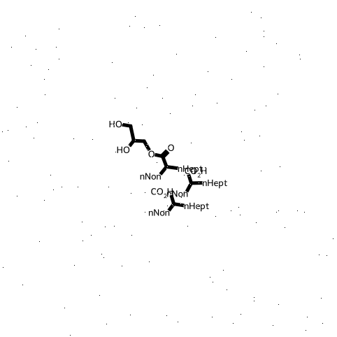 CCCCCCCCCC(CCCCCCC)C(=O)O.CCCCCCCCCC(CCCCCCC)C(=O)O.CCCCCCCCCC(CCCCCCC)C(=O)OCC(O)CO